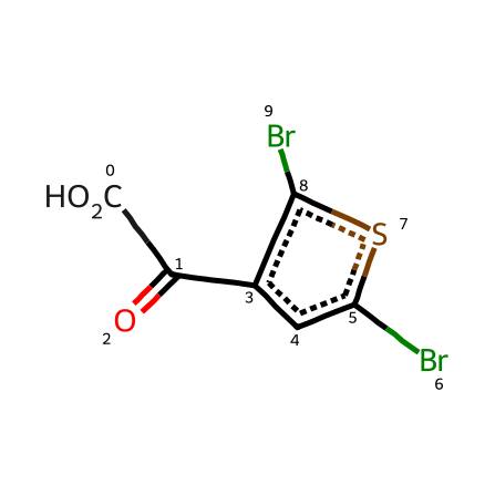 O=C(O)C(=O)c1cc(Br)sc1Br